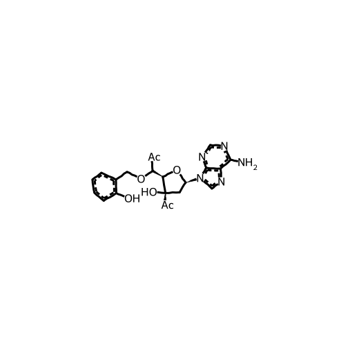 CC(=O)C(OCc1ccccc1O)[C@H]1O[C@@H](n2cnc3c(N)ncnc32)C[C@@]1(O)C(C)=O